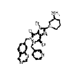 CCn1c(N2CCCC(N)C2)nc2c(=O)n(Cc3cccnc3)n(Cc3ccc4cncnc4c3)c(=O)c21